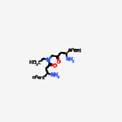 CCCCC[C@H](N)CC(=O)CN(CC(=O)O)C(=O)C[C@@H](N)CCCCC